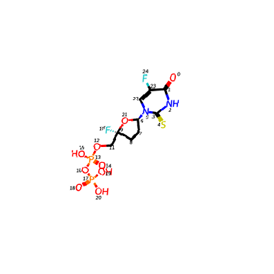 O=c1[nH]c(=S)n([C@H]2CC[C@@](F)(COP(=O)(O)OP(=O)(O)O)O2)cc1F